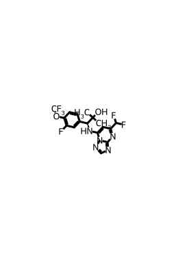 CC(C)(O)[C@@H](Nc1cc(C(F)F)nc2ncnn12)c1ccc(OC(F)(F)F)c(F)c1